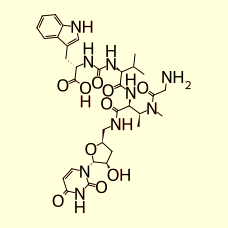 CC(C)[C@H](NC(=O)N[C@@H](Cc1c[nH]c2ccccc12)C(=O)O)C(=O)N[C@H](C(=O)NC[C@H]1C[C@@H](O)[C@H](n2ccc(=O)[nH]c2=O)O1)[C@H](C)N(C)C(=O)CN